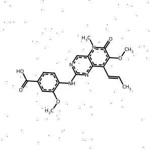 C/C=C/c1c(OC)c(=O)n(C)c2cnc(Nc3ccc(C(=O)O)cc3OC)nc12